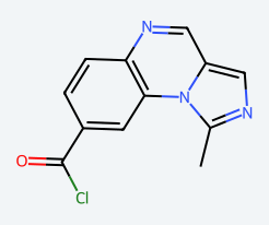 Cc1ncc2cnc3ccc(C(=O)Cl)cc3n12